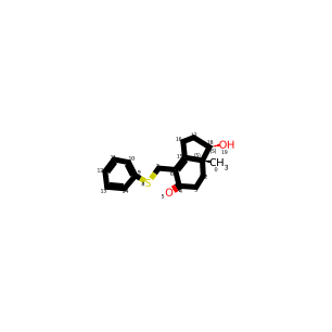 C[C@]12CCC(=O)C(CSc3ccccc3)=C1CC[C@@H]2O